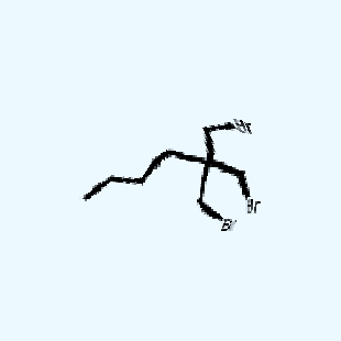 [CH2]C[CH]CC(CBr)(CBr)CBr